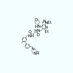 CCc1nc2c(cnn2CC)c(NC2CCOCC2)c1CNC(=O)CCC(=O)NCc1ccc(C)c(-c2cccc(CN3CCN[C@H](C)C3)c2)c1